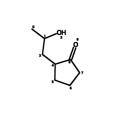 CC(O)CC1CCCC1=O